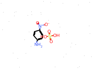 Nc1ccc([N+](=O)[O-])cc1.O=S(=O)(O)O